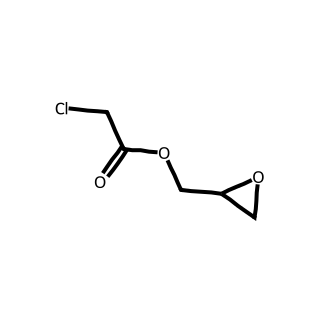 O=C(CCl)OCC1CO1